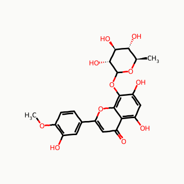 COc1ccc(-c2cc(=O)c3c(O)cc(O)c(OC4O[C@H](C)[C@@H](O)[C@H](O)[C@H]4O)c3o2)cc1O